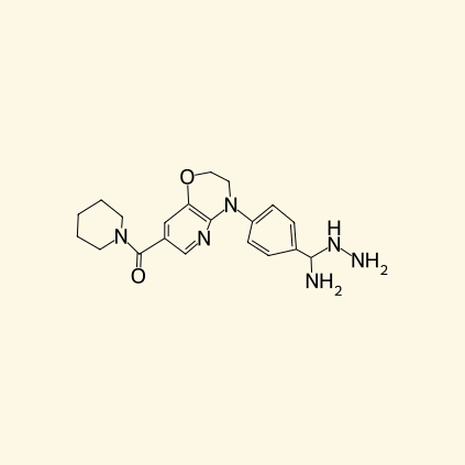 NNC(N)c1ccc(N2CCOc3cc(C(=O)N4CCCCC4)cnc32)cc1